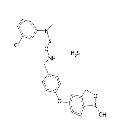 CN(SONCc1ccc(Oc2ccc3c(c2)COB3O)cc1)c1cccc(Cl)c1.S